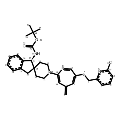 C=C1C=C(SCc2cccc(Cl)n2)C=NC(N2CCC3(CC2)Cc2ccccc2[C@H]3NC(=O)OC(C)(C)C)=C1